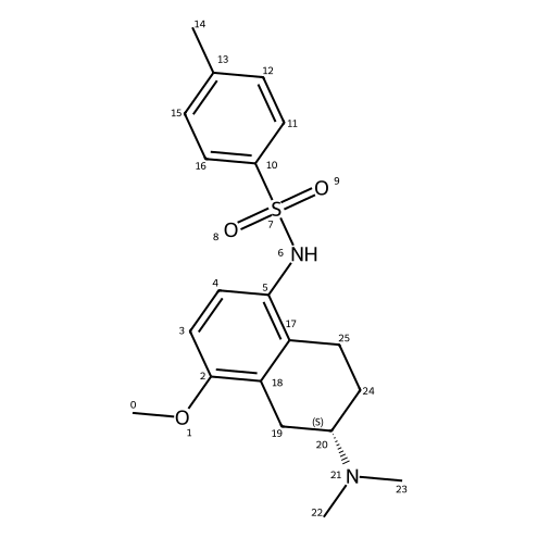 COc1ccc(NS(=O)(=O)c2ccc(C)cc2)c2c1C[C@@H](N(C)C)CC2